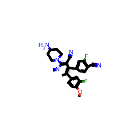 C=N/C(=C(C#N)\C(=C(/C)c1ccc(OC)c(F)c1)c1ccc(C#N)c(F)c1)N1CCC(N)CC1